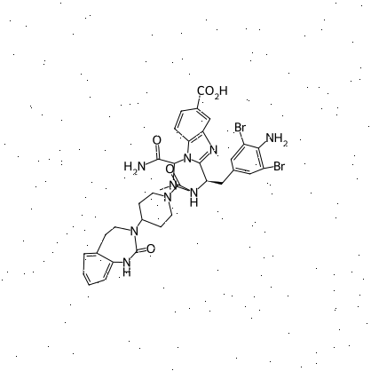 CN(C)C(C(N)=O)n1c([C@@H](Cc2cc(Br)c(N)c(Br)c2)NC(=O)N2CCC(N3CCc4ccccc4NC3=O)CC2)nc2cc(C(=O)O)ccc21